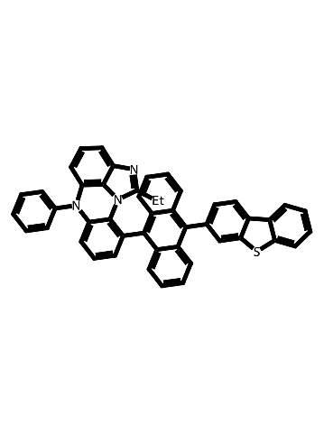 CCc1nc2cccc3c2n1-c1c(-c2c4ccccc4c(-c4ccc5c(c4)sc4ccccc45)c4ccccc24)cccc1N3c1ccccc1